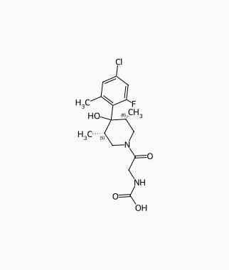 Cc1cc(Cl)cc(F)c1C1(O)[C@H](C)CN(C(=O)CNC(=O)O)C[C@@H]1C